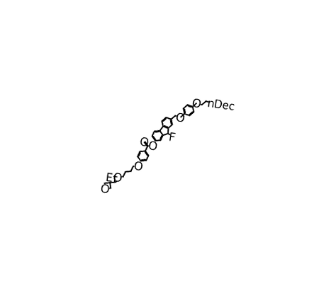 CCCCCCCCCCCCOc1ccc(OCc2ccc3c(c2)C(F)c2cc(OC(=O)c4ccc(OCCCCOCC5(CC)COC5)cc4)ccc2-3)cc1